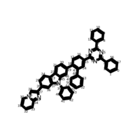 c1ccc(-c2nc(-c3ccccc3)nc(-c3ccc(-c4ccc5c6ccc(-c7cn8ccccc8n7)cc6n(-c6ccccc6)c5c4)c(-c4ccccc4)c3)n2)cc1